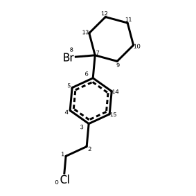 ClCCc1ccc(C2(Br)CCCCC2)cc1